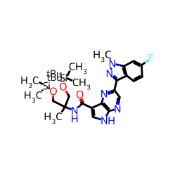 Cn1nc(-c2cnc3[nH]cc(C(=O)NC(C)(CO[Si](C)(C)C(C)(C)C)CO[Si](C)(C)C(C)(C)C)c3n2)c2ccc(F)cc21